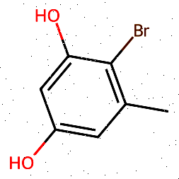 Cc1cc(O)cc(O)c1Br